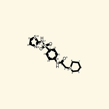 O=C(CN1CCCCC1)Nc1ccc(S(=O)(=O)Nc2nccs2)cc1